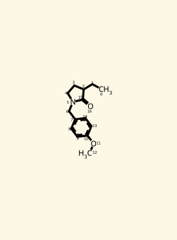 CCC1CCN(Cc2ccc(OC)cc2)C1=O